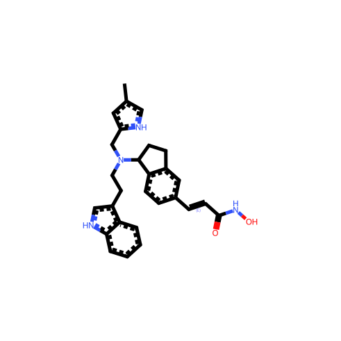 Cc1c[nH]c(CN(CCc2c[nH]c3ccccc23)C2CCc3cc(/C=C/C(=O)NO)ccc32)c1